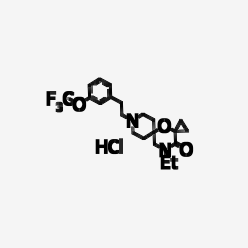 CCN1CC2(CCN(CCc3cccc(OC(F)(F)F)c3)CC2)OC2(CC2)C1=O.Cl